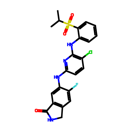 CC(C)S(=O)(=O)c1ccccc1Nc1nc(Nc2cc3c(cc2F)CNC3=O)ccc1Cl